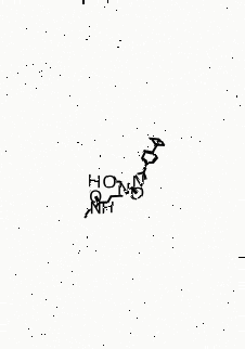 CCNC(=O)CCCN(CO)C(=O)N1CC(c2ccc(C34CC3C4)cc2)C1